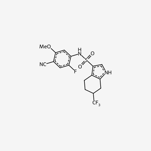 COc1cc(NS(=O)(=O)c2c[nH]c3c2CCC(C(F)(F)F)C3)c(F)cc1C#N